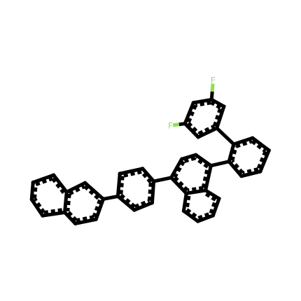 Fc1cc(F)cc(-c2ccccc2-c2ccc(-c3ccc(-c4ccc5ccccc5c4)cc3)c3ccccc23)c1